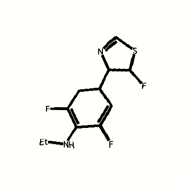 CCNC1=C(F)CC(C2N=CSC2F)C=C1F